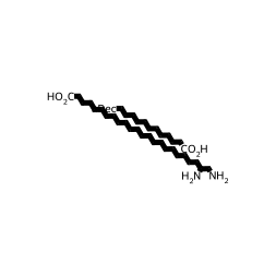 CCCCCCCCCCCCCCCCCCCCCC(=O)O.NCC(N)CCCCCCCCCCCCCCCCCCCCCC(=O)O